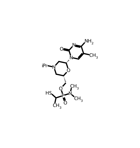 Cc1cn([C@H]2CN(C(C)C)C[C@@H](COP(=O)(C(C)S)N(C)C)O2)c(=O)nc1N